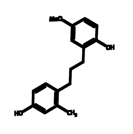 COc1ccc(O)c(CCCc2ccc(O)cc2C)c1